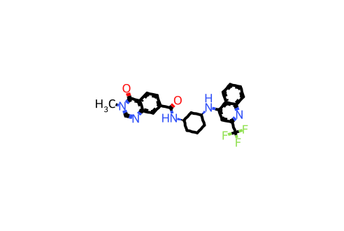 Cn1cnc2cc(C(=O)N[C@@H]3CCC[C@H](Nc4cc(C(F)(F)F)nc5ccccc45)C3)ccc2c1=O